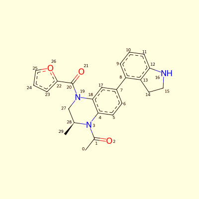 CC(=O)N1c2ccc(-c3cccc4c3CCN4)cc2N(C(=O)c2ccco2)C[C@@H]1C